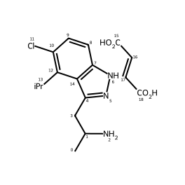 CC(N)Cc1n[nH]c2ccc(Cl)c(C(C)C)c12.O=C(O)/C=C/C(=O)O